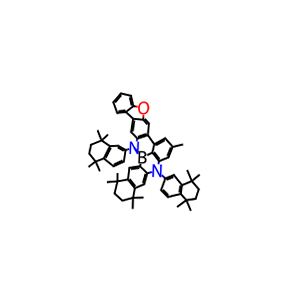 Cc1cc2c3c(c1)N(c1ccc4c(c1)C(C)(C)CCC4(C)C)c1cc4c(cc1B3N(c1ccc3c(c1)C(C)(C)CCC3(C)C)c1cc3c(cc1-2)oc1ccccc13)C(C)(C)CCC4(C)C